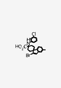 Cc1ccc2c(c1)C=C(Br)C21CCC(Nc2cccc(Cl)c2)(C(=O)O)CC1